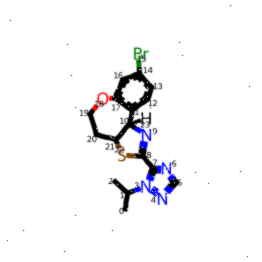 CC(C)n1ncnc1C1=N[C@H]2c3ccc(Br)cc3OCCC2S1